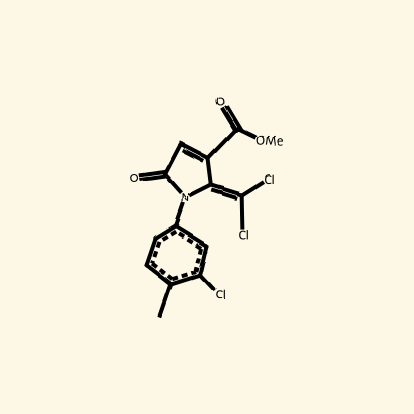 COC(=O)C1=CC(=O)N(c2ccc(C)c(Cl)c2)C1=C(Cl)Cl